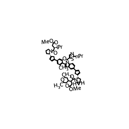 CCCc1ncc(C2Oc3cc(C4=CC=C([C@@H]5CCCN5C(=O)[C@@H](CC(=O)OC)C(C)C)C4)cc(C)c3-c3cc4cc(C5=CC=C([C@@H]6C[C@H]7C[C@H]7N6C(=O)C(CC(=O)OC)C6C[C@@H](C)O[C@@H](C)C6)C5)ccc4n32)s1